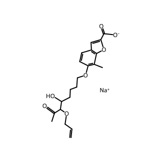 C=CCOC(C(C)=O)C(O)CCCCOc1ccc2cc(C(=O)[O-])oc2c1C.[Na+]